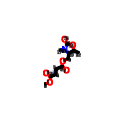 COC(=O)/C=C/C(=O)OCC1C(C)OC(=O)N1C